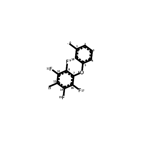 [CH2]c1cccc(Oc2c(F)c(F)c(C)c(F)c2F)c1